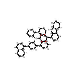 c1ccc(-c2ccccc2N(c2ccc(-c3cccc4c3sc3ccccc34)cc2)c2cc(-c3cccc4ccccc34)ccc2-c2ccccc2)cc1